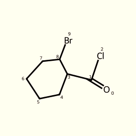 O=C(Cl)C1CCCCC1Br